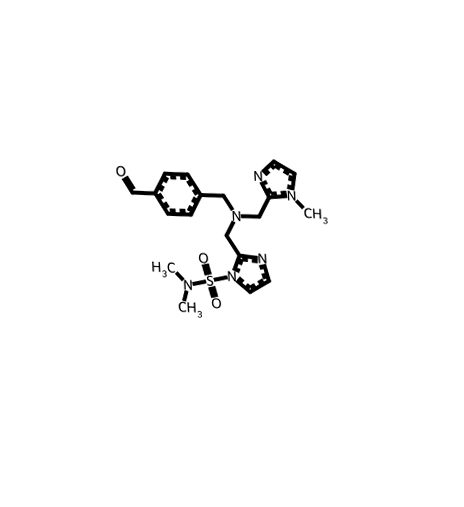 CN(C)S(=O)(=O)n1ccnc1CN(Cc1ccc(C=O)cc1)Cc1nccn1C